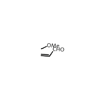 C=CC=O.COC